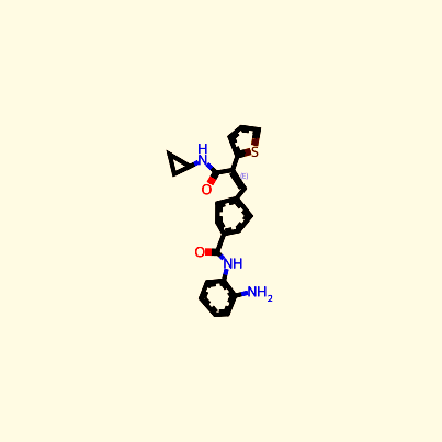 Nc1ccccc1NC(=O)c1ccc(/C=C(\C(=O)NC2CC2)c2cccs2)cc1